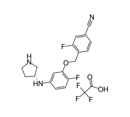 N#Cc1ccc(COc2cc(N[C@@H]3CCNC3)ccc2F)c(F)c1.O=C(O)C(F)(F)F